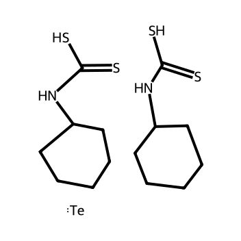 S=C(S)NC1CCCCC1.S=C(S)NC1CCCCC1.[Te]